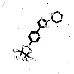 CC1(C)OB(c2ccc(-c3cnc([C@@H]4CCCCN4)[nH]3)cc2)OC1(C)C